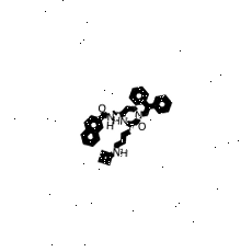 O=C(NC[C@@H]1CCN(CC(c2ccccc2)c2ccccc2)C(=O)[C@H](CCCCNC2CCC2)N1)c1ccc2ccccc2c1